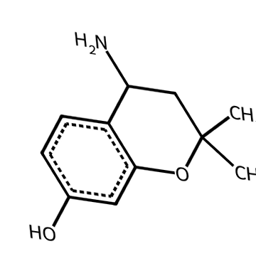 CC1(C)CC(N)c2ccc(O)cc2O1